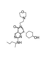 CCCC(C)Nc1ncc2c(=O)n(CCN3CCOCC3)cc([C@H]3CC[C@H](O)CC3)c2n1